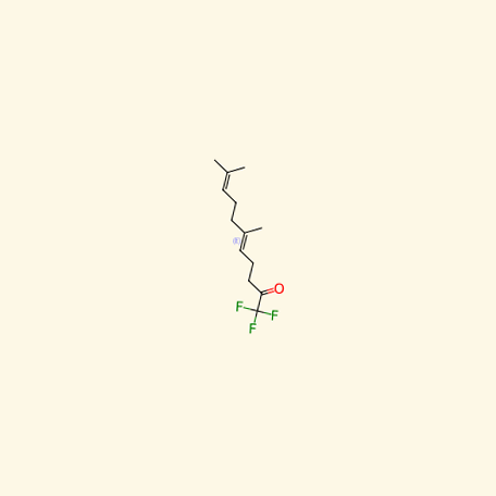 CC(C)=CCC/C(C)=C/CCC(=O)C(F)(F)F